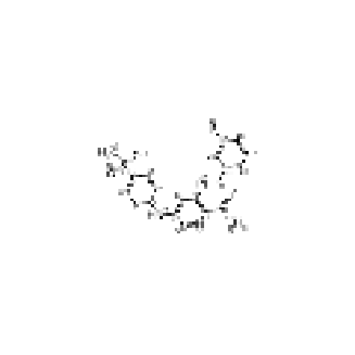 CC(=O)c1nnc(Nc2ccc(S(C)(=O)=O)cc2)cc1NCc1cccc(F)c1